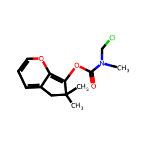 CN(CCl)C(=O)OC1=C2OC=CC=C2CC1(C)C